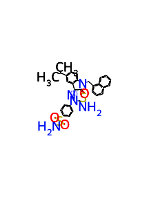 CC(C)c1ccc2c(c1)/C(=N/N(C(N)=S)c1ccc(S(N)(=O)=O)cc1)C(=O)N2Cc1cccc2ccccc12